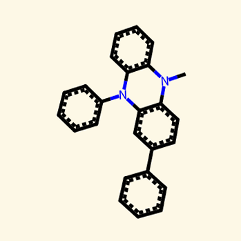 CN1c2ccccc2N(c2ccccc2)c2cc(-c3ccccc3)ccc21